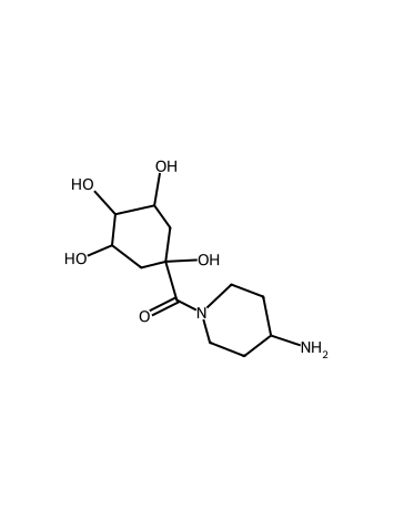 NC1CCN(C(=O)C2(O)CC(O)C(O)C(O)C2)CC1